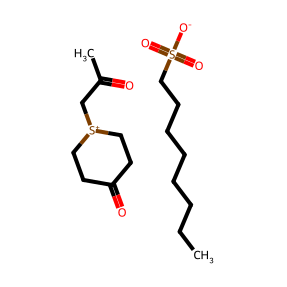 CC(=O)C[S+]1CCC(=O)CC1.CCCCCCCCS(=O)(=O)[O-]